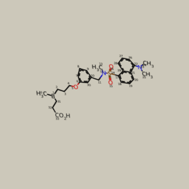 CB(CCCOc1cccc(CN(C)S(=O)(=O)c2cccc3c(N(C)C)cccc23)c1)CCC(=O)O